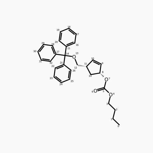 CCCCOC(=O)O[C@H]1C=C[C@@H](COC(c2ccccc2)(c2ccccc2)c2ccccc2)C1